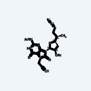 C#CCn1c(=O)n([C@@H]2O[C@H]([C@@H](C)CN=[N+]=[N-])C[C@H]2OC(C)=O)c2nc(NC(C)=O)[nH]c(=O)c21